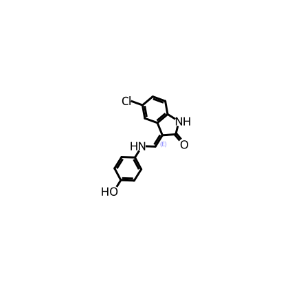 O=C1Nc2ccc(Cl)cc2/C1=C\Nc1ccc(O)cc1